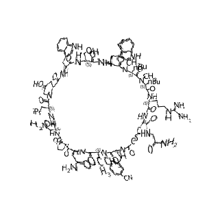 CCCC[C@H]1C(=O)N(C)[C@@H](CCCC)C(=O)N[C@@H](CCCNC(=N)N)C(=O)N[C@H](C(=O)NCC(N)=O)CSCC(=O)N[C@@H](Cc2cccc(C#N)c2)C(=O)N(C)[C@@H](C)C(=O)NC(CC(N)=O)C(=O)N2CCC[C@H]2C(=O)N[C@@H](CN)C(=O)N[C@@H](CC(C)C)C(=O)N2C[C@H](O)CC2C(=O)N[C@@H](Cc2c[nH]c3ccccc23)C(=O)N[C@@H](CO)C(=O)N[C@@H](Cc2c[nH]c3ccccc23)C(=O)N1C